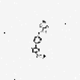 CC(C)(C)OC(=O)NCc1ccc(-c2nc(C(=O)O)cs2)cc1